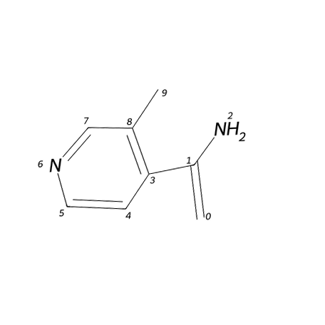 C=C(N)c1ccncc1C